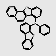 c1ccc(N(c2cccc3c2sc2ccccc23)c2cccc3oc4c5ccccc5ccc4c23)cc1